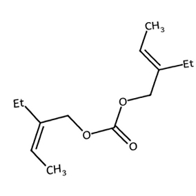 CC=C(CC)COC(=O)OCC(=CC)CC